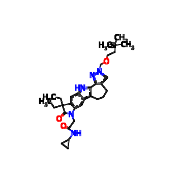 CCC1(CC)C(=O)N(CC(=O)NC2CC2)c2cc3c4c([nH]c3cc21)-c1nn(COCC[Si](C)(C)C)cc1CCC4